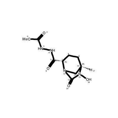 COC(=O)NNC(=O)[C@@H]1CC[C@@H]2CN1C(=O)N2O